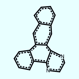 c1ccc2cc3c(cc2c1)c1ccccc1c1nccnc31